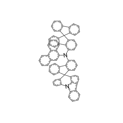 c1ccc2c(c1)-c1ccccc1C21c2ccccc2-c2c(N(c3cccc4c3-c3ccccc3C43c4ccccc4-n4c5ccccc5c5cccc3c54)c3cc4ccccc4c4ccccc34)cccc21